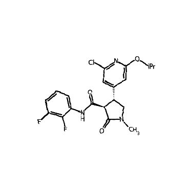 CC(C)Oc1cc([C@@H]2CN(C)C(=O)[C@H]2C(=O)Nc2cccc(F)c2F)cc(Cl)n1